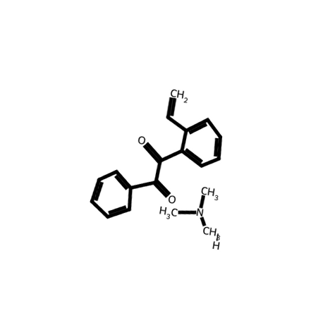 C=Cc1ccccc1C(=O)C(=O)c1ccccc1.CN(C)C.I